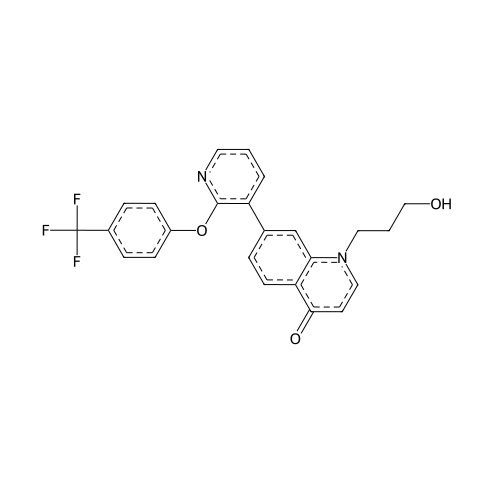 O=c1ccn(CCCO)c2cc(-c3cccnc3Oc3ccc(C(F)(F)F)cc3)ccc12